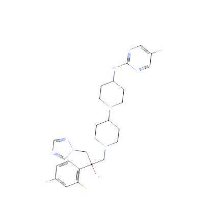 OC(CN1CCC(N2CCC(Nc3ncc(F)cn3)CC2)CC1)(Cn1cncn1)c1ccc(F)cc1F